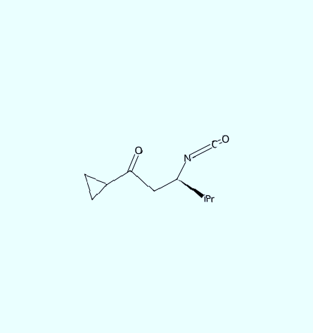 CC(C)[C@@H](CC(=O)C1CC1)N=C=O